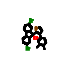 Cc1ccc(-c2ccsc2C2(O)c3cc(Br)ccc3-c3ccc(Br)cc32)cc1C